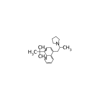 CC(Cc1ccc(C(C)(C)C)c2ccccc12)N1CCCC1